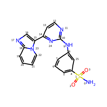 NS(=O)(=O)c1cccc(Nc2nccc(-c3cnc4ccccn34)n2)c1